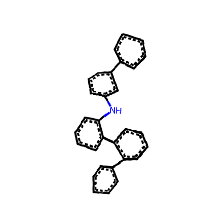 c1ccc(-c2cccc(Nc3ccccc3-c3ccccc3-c3ccccc3)c2)cc1